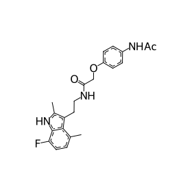 CC(=O)Nc1ccc(OCC(=O)NCCc2c(C)[nH]c3c(F)ccc(C)c23)cc1